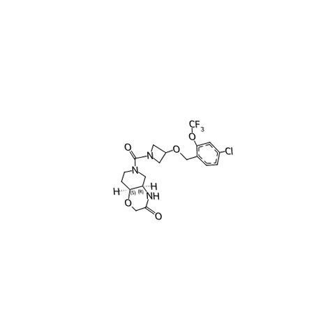 O=C1CO[C@H]2CCN(C(=O)N3CC(OCc4ccc(Cl)cc4OC(F)(F)F)C3)C[C@H]2N1